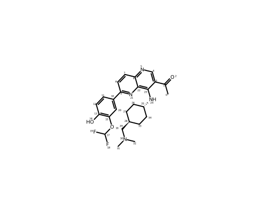 CC(=O)c1cnc2ccc(-c3ccc(O)c(OC(F)F)c3)nc2c1N[C@H]1CC[C@H](CN(C)C)CC1